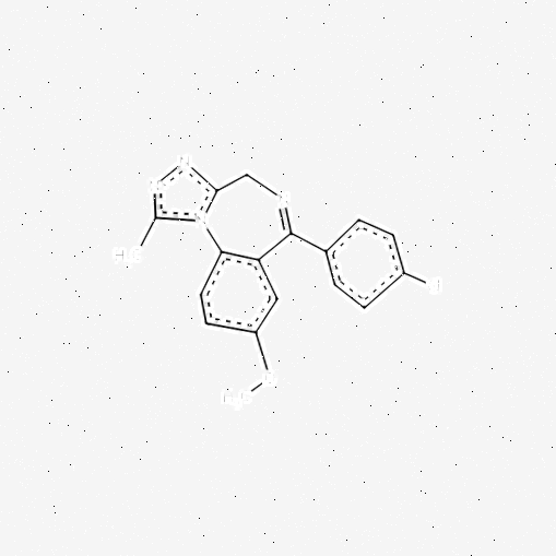 COc1ccc2c(c1)C(c1ccc(Cl)cc1)=NCc1nnc(C)n1-2